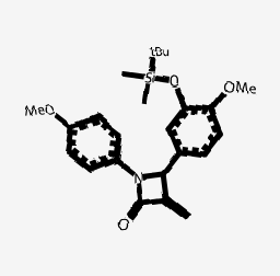 C=C1C(=O)N(c2ccc(OC)cc2)C1c1ccc(OC)c(O[Si](C)(C)C(C)(C)C)c1